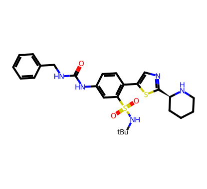 CC(C)(C)NS(=O)(=O)c1cc(NC(=O)NCc2ccccc2)ccc1-c1cnc([C@@H]2CCCCN2)s1